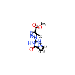 CCOC(=O)c1nnn(-c2nn3cccc3c(=O)[nH]2)c1C